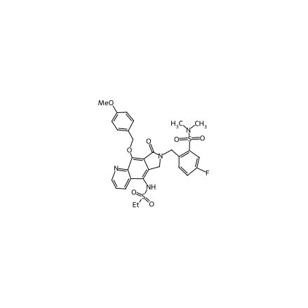 CCS(=O)(=O)Nc1c2c(c(OCc3ccc(OC)cc3)c3ncccc13)C(=O)N(Cc1ccc(F)cc1S(=O)(=O)N(C)C)C2